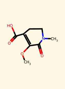 COC1=C(C(=O)O)CCN(C)C1=O